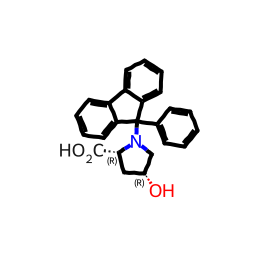 O=C(O)[C@H]1C[C@@H](O)CN1C1(c2ccccc2)c2ccccc2-c2ccccc21